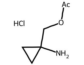 CC(=O)OCC1(N)CC1.Cl